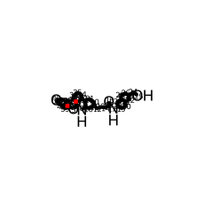 CN1C2CC(OC(=O)Nc3cc(CCCC(=O)Nc4ccc5cc(CO)ccc5c4)ccc3-c3ccccc3)CC1C1OC12